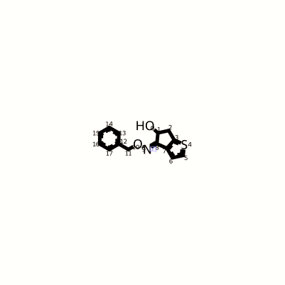 OC1Cc2sccc2/C1=N/OCc1ccccc1